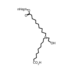 CCCCCCCOC(=O)CCCCCCCCCN(CCO)CCCCCCCCCC(=O)O